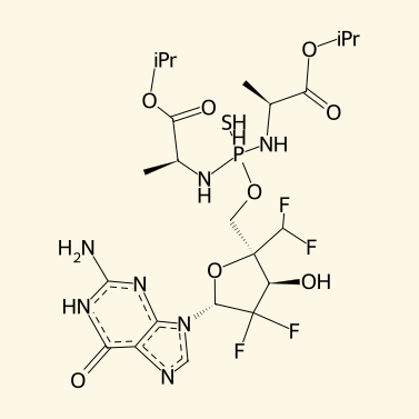 CC(C)OC(=O)[C@H](C)N[PH](S)(N[C@@H](C)C(=O)OC(C)C)OC[C@@]1(C(F)F)O[C@@H](n2cnc3c(=O)[nH]c(N)nc32)C(F)(F)[C@@H]1O